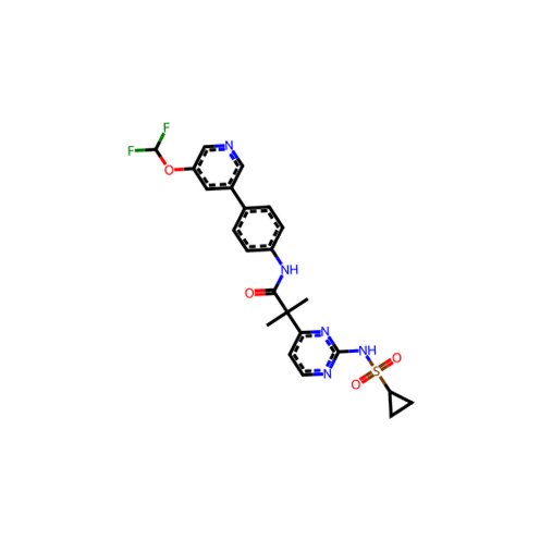 CC(C)(C(=O)Nc1ccc(-c2cncc(OC(F)F)c2)cc1)c1ccnc(NS(=O)(=O)C2CC2)n1